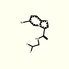 C=C(NCC(F)F)c1cnc2ccc(Br)cn12